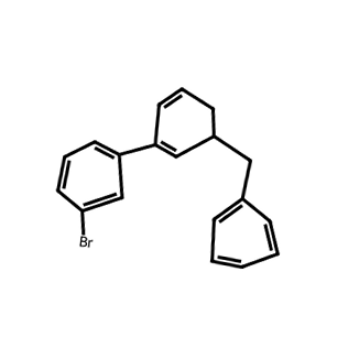 Brc1cccc(C2=CC(Cc3ccccc3)CC=C2)c1